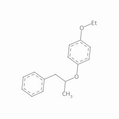 CCOc1ccc(OC(C)Cc2ccccc2)cc1